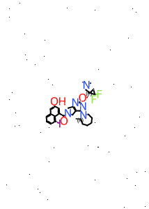 C[C@@H]1CCCCCN1c1nc(OC[C@]2(CN(C)C)CC2(F)F)nc2c1CN(C(=O)c1cc(O)cc3cccc(I)c13)C2